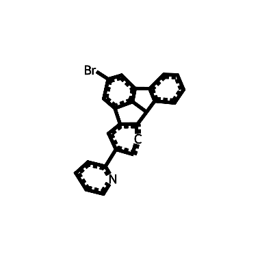 Brc1cc2c3c(c1)-c1cc(-c4ccccn4)ccc1C3c1ccccc1-2